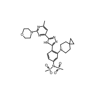 Cc1cc(-c2nnc(-c3ccc(N(S(C)(=O)=O)S(C)(=O)=O)cc3N3CCC4(CC3)CC4)[nH]2)nc(N2CCOCC2)n1